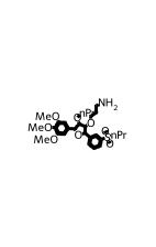 CCCOC1C(c2cc(OC)c(OC)c(OC)c2)OC(c2cccc(S(=O)(=O)CCC)c2)C1OCCCN